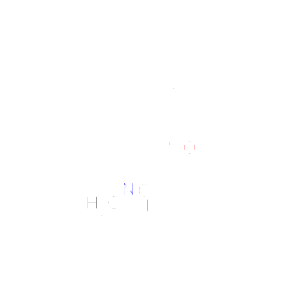 C=N/C=C\C(=C/C)C(=O)CCC1CC1